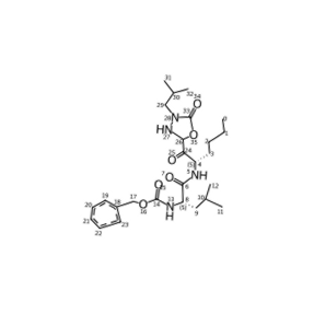 CCCC[C@H](NC(=O)[C@H](CC(C)C)NC(=O)OCc1ccccc1)C(=O)C1NN(CC(C)C)C(=O)O1